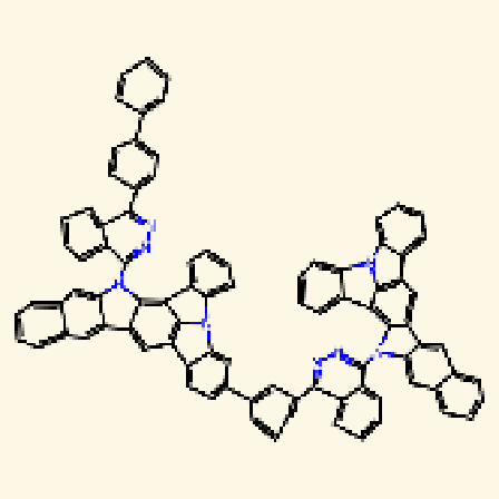 c1ccc(-c2ccc(-c3nnc(-n4c5cc6ccccc6cc5c5cc6c7ccc(-c8cccc(-c9nnc(-n%10c%11cc%12ccccc%12cc%11c%11cc%12c%13ccccc%13n%13c%14ccccc%14c(c%11%10)c%12%13)c%10ccccc9%10)c8)cc7n7c8ccccc8c(c54)c67)c4ccccc34)cc2)cc1